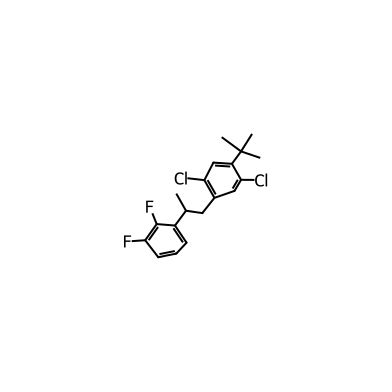 CC(Cc1cc(Cl)c(C(C)(C)C)cc1Cl)c1cccc(F)c1F